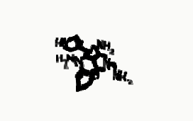 NCN1CC(=O)c2c(N(N)c3ccccc3)c(C3=CCNC=C3)n(N)c2C1